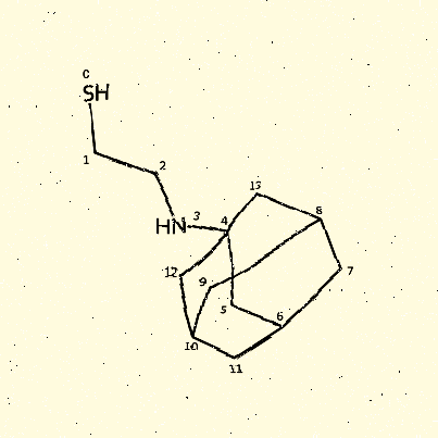 SCCNC12CC3CC(CC(C3)C1)C2